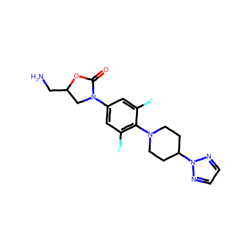 NCC1CN(c2cc(F)c(N3CCC(n4nccn4)CC3)c(F)c2)C(=O)O1